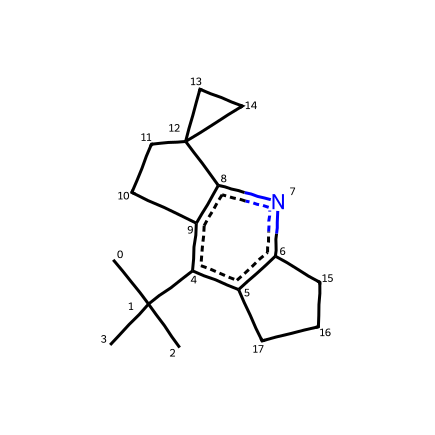 CC(C)(C)c1c2c(nc3c1CCC31CC1)CCC2